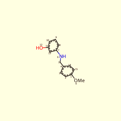 COc1ccc(CNc2cccc(O)c2)cc1